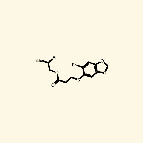 CCCCC(CC)COC(=O)CCSc1cc2c(cc1Br)OCO2